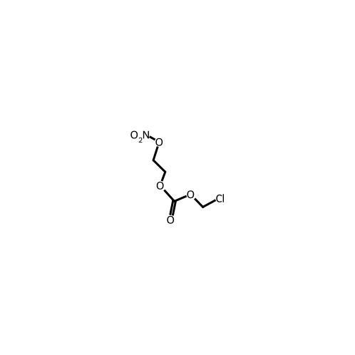 O=C(OCCl)OCCO[N+](=O)[O-]